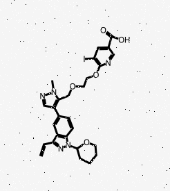 C=Cc1nn(C2CCCCO2)c2ccc(-c3cnn(C)c3COCCOc3ncc(C(=O)O)cc3I)cc12